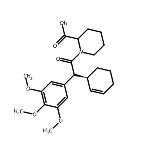 COc1cc(C(C(=O)N2CCCCC2C(=O)O)[C@@H]2C=CCCC2)cc(OC)c1OC